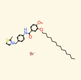 CCCCCCCCCCCCCCOc1cc(C(=O)Nc2ccc(C[n+]3ccsc3C)cc2)ccc1OC.[Br-]